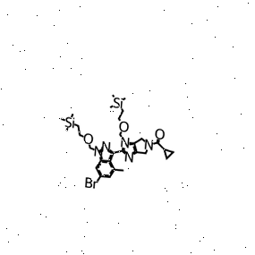 Cc1cc(Br)cc2c1c(-c1nc3c(n1COCC[Si](C)(C)C)CN(C(=O)C1CC1)C3)nn2COCC[Si](C)(C)C